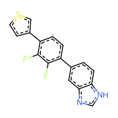 Fc1c(-c2ccsc2)[c]cc(-c2ccc3[nH]cnc3c2)c1F